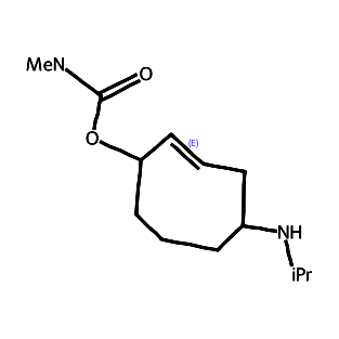 CNC(=O)OC1/C=C/CC(NC(C)C)CCC1